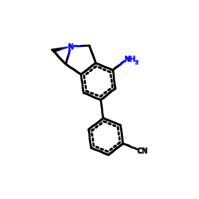 N#Cc1cccc(-c2cc(N)c3c(c2)C2C[N@@]2C3)c1